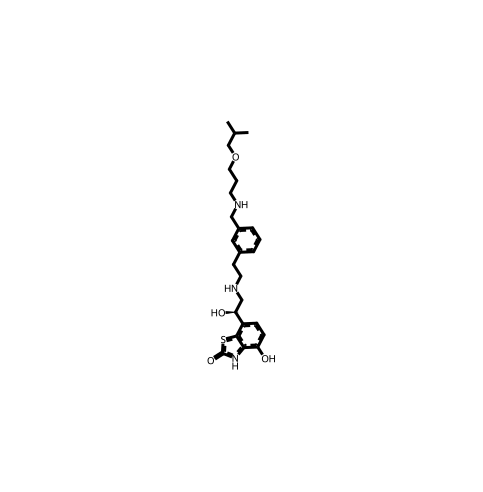 CC(C)COCCCNCc1cccc(CCNC[C@H](O)c2ccc(O)c3[nH]c(=O)sc23)c1